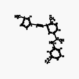 Cc1ncc(C#Cc2cc(C(O)Nc3cc(C(F)(F)F)ccn3)ccc2C)s1